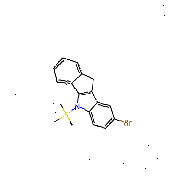 CS(C)(C)n1c2c(c3cc(Br)ccc31)Cc1ccccc1-2